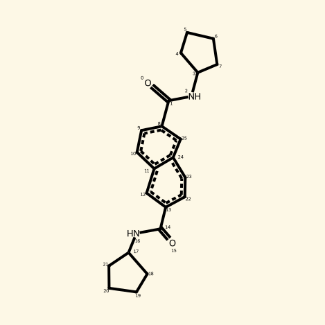 O=C(NC1CCCC1)c1ccc2cc(C(=O)NC3CCCC3)ccc2c1